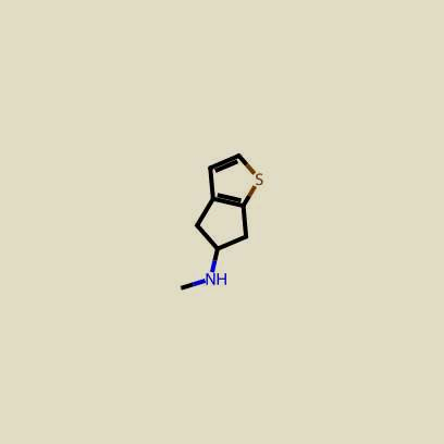 CNC1Cc2ccsc2C1